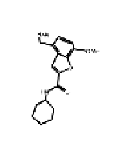 CNCc1ccc(OC)c2oc(C(=O)NC3CCCCC3)cc12